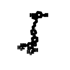 CNCCc1c(C(=O)NC)oc2ccc(N3CCN(CCCCc4c[nH]c5ccc(C#N)cc45)CC3)cc12